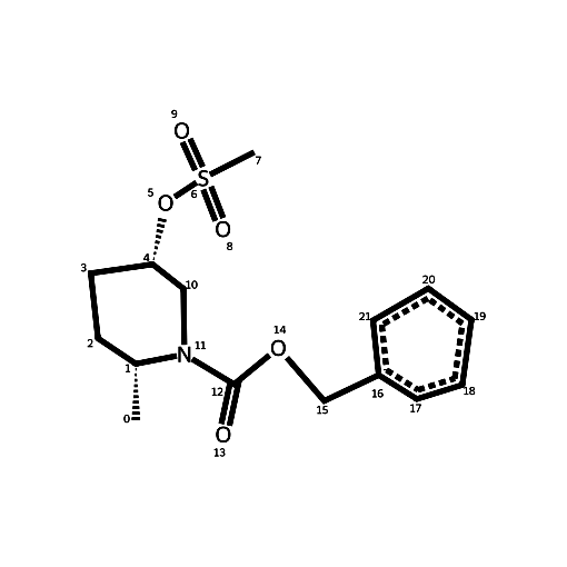 C[C@@H]1CC[C@H](OS(C)(=O)=O)CN1C(=O)OCc1ccccc1